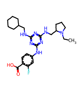 CCN1CCCC1CNc1nc(NCC2CCCCC2)nc(Nc2ccc(C(=O)O)c(F)c2)n1